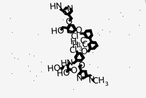 C/N=C/c1cncc(COc2cc(OCc3cccc(-c4cccc(COc5cc(OCc6cncc(C=N)c6)c(CO)cc5Cl)c4C)c3C)c(Cl)cc2CN[C@@H](CCO)C(=O)O)c1